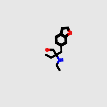 CCNC(C=O)(CC)Cc1ccc2ccoc2c1